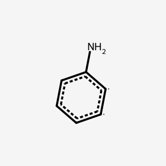 Nc1[c][c]ccc1